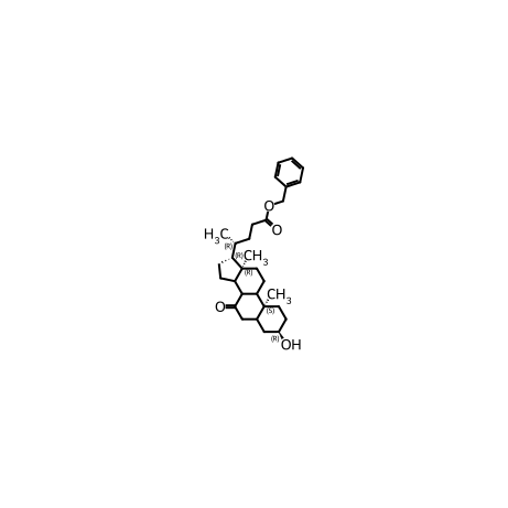 C[C@H](CCC(=O)OCc1ccccc1)[C@H]1CCC2C3C(=O)CC4C[C@H](O)CC[C@]4(C)C3CC[C@@]21C